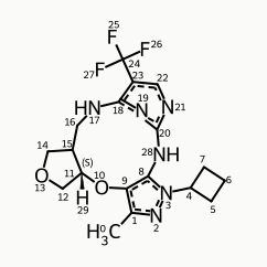 Cc1nn(C2CCC2)c2c1O[C@@H]1COCC1CNc1nc(ncc1C(F)(F)F)N2